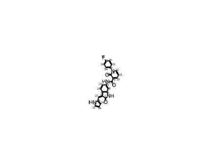 O=C1Nc2cc(NC(=O)c3cccn(-c4ccc(F)cc4)c3=O)ccc2/C1=C/c1ccc[nH]1